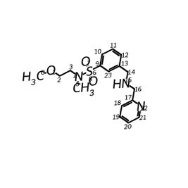 COCCN(C)S(=O)(=O)c1cccc(CNCc2ccccn2)c1